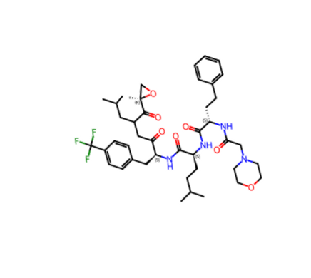 CC(C)CC[C@H](NC(=O)[C@H](CCc1ccccc1)NC(=O)CN1CCOCC1)C(=O)N[C@@H](Cc1ccc(C(F)(F)F)cc1)C(=O)CC(CC(C)C)C(=O)[C@@]1(C)CO1